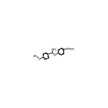 CCCCCc1ccc(OC(O)c2ccc(OC(C)C)cc2)cc1